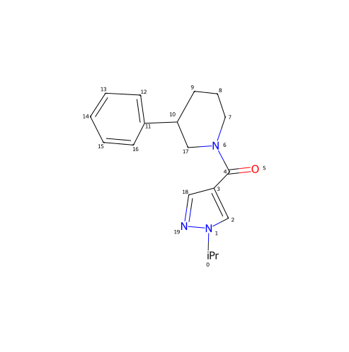 CC(C)n1cc(C(=O)N2CCCC(c3ccccc3)C2)cn1